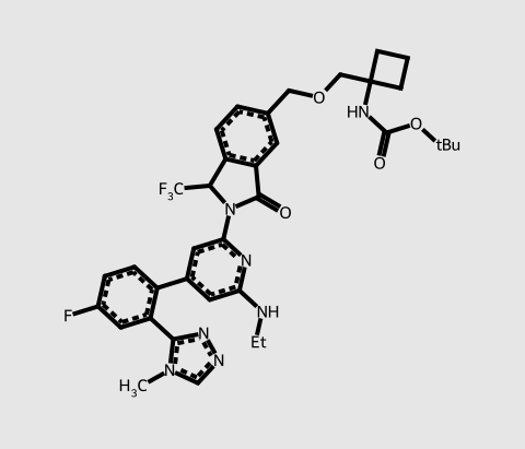 CCNc1cc(-c2ccc(F)cc2-c2nncn2C)cc(N2C(=O)c3cc(COCC4(NC(=O)OC(C)(C)C)CCC4)ccc3C2C(F)(F)F)n1